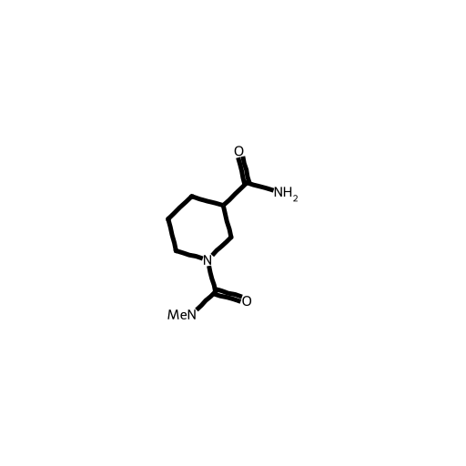 CNC(=O)N1CCCC(C(N)=O)C1